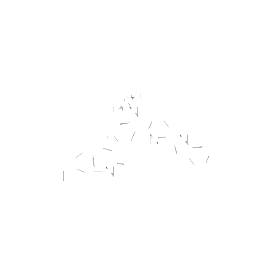 CNC(=O)c1c(-c2ccc(F)cc2)oc2cc(N(C)S(C)(=O)=O)c(-c3ccc4c(n3)-c3cc5c(F)cccc5n3C4)cc12